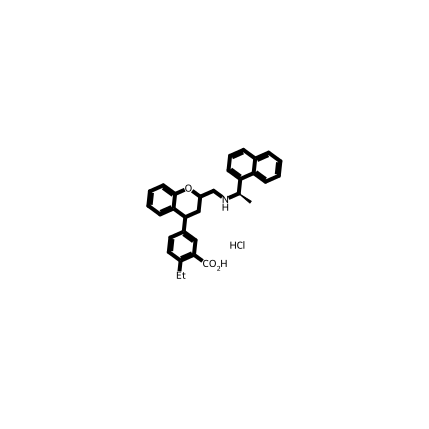 CCc1ccc(C2CC(CN[C@H](C)c3cccc4ccccc34)Oc3ccccc32)cc1C(=O)O.Cl